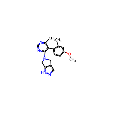 COc1ccc(-c2c(C)ncnc2N2Cc3cn[nH]c3C2)c(C)c1